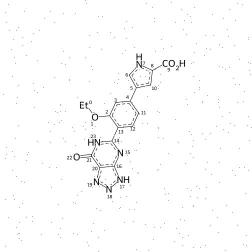 CCOc1cc(-c2c[nH]c(C(=O)O)c2)ccc1-c1nc2[nH]nnc2c(=O)[nH]1